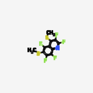 CSc1c(F)c(F)c2nc(F)c(F)c(SC)c2c1F